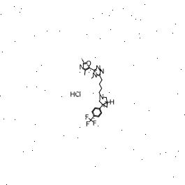 Cc1nc(C)c(-c2nnc(CCCCN3C[C@@H]4C[C@]4(c4ccc(C(F)(F)F)cc4)C3)n2C)o1.Cl